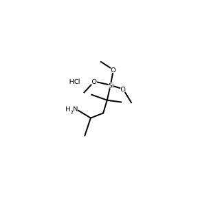 CO[Si](OC)(OC)C(C)(C)CC(C)N.Cl